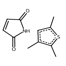 Cc1cc(C)c(C)s1.O=C1C=CC(=O)N1